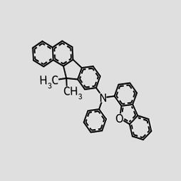 CC1(C)c2cc(N(c3ccccc3)c3cccc4c3oc3ccccc34)ccc2-c2ccc3ccccc3c21